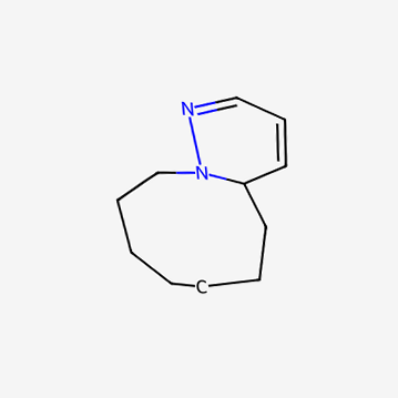 C1=CC2CCCCCCCN2N=C1